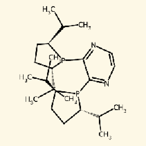 CC(C)[C@@H]1CC[C@@H](C(C)C)P1c1nccnc1P1[C@H](C(C)C)CC[C@H]1C(C)C